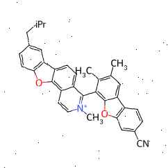 Cc1cc2c(oc3cc(C#N)ccc32)c(-c2c3ccc4c5cc(CC(C)C)ccc5oc4c3cc[n+]2C)c1C